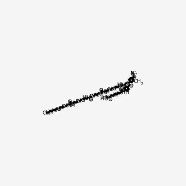 Cc1cc(N(CCNC(=O)OCCOCCOCCNC(=O)OC/C=C/COC(=O)NCCOCCOCCOC(=O)NCCOCCOCCCCCCCl)C(=O)c2ccc(NC(=O)CCCCCCC(=O)NO)cc2)ccc1N=[N+]=[N-]